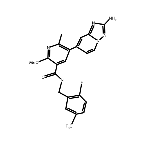 COc1nc(C)c(-c2ccn3nc(N)nc3c2)cc1C(=O)NCc1cc(C(F)(F)F)ccc1F